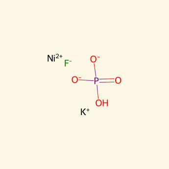 O=P([O-])([O-])O.[F-].[K+].[Ni+2]